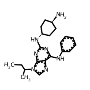 CCC(C)n1cnc2c(Nc3ccccc3)nc(N[C@H]3CC[C@H](N)CC3)nc21